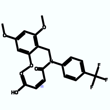 COc1cc(OC)c(CN(C(=O)/C=C\C(=O)O)c2ccc(C(F)(F)F)cc2)c(OC)c1